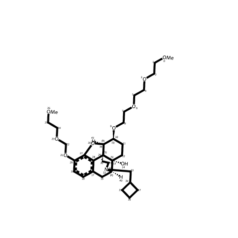 COCCOCCOCCO[C@H]1CC[C@@]2(O)[C@H]3Cc4ccc(OCOCCOC)c5c4[C@@]2(CCN3CC2CCC2)[C@H]1O5